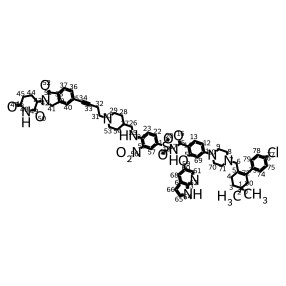 CC1(C)CCC(CN2CCN(c3ccc(C(=O)NS(=O)(=O)c4ccc(NCC5CCN(CCC#Cc6ccc7c(c6)CN(C6CCC(=O)NC6=O)C7=O)CC5)c([N+](=O)[O-])c4)c(Oc4cnc5[nH]ccc5c4)c3)CC2)=C(c2ccc(Cl)cc2)C1